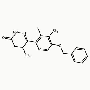 CC1CC(=O)NN=C1c1ccc(OCc2ccccc2)c(C(F)(F)F)c1F